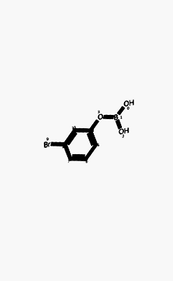 OB(O)Oc1cccc(Br)c1